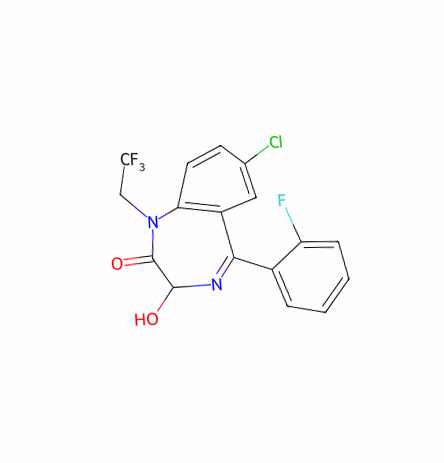 O=C1C(O)N=C(c2ccccc2F)c2cc(Cl)ccc2N1CC(F)(F)F